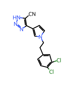 N#Cc1[nH]nnc1-c1ccn(CCc2ccc(Cl)c(Cl)c2)c1